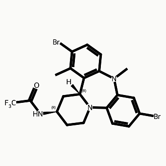 Cc1c(Br)ccc2c1[C@H]1C[C@H](NC(=O)C(F)(F)F)CCN1c1ccc(Br)cc1N2C